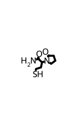 NC(=O)C(CCS)N1CCCC1=O